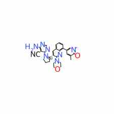 Cc1cc(-c2cccc3cc([C@@H]4CCCN4c4ncnc(N)c4C#N)c(N4CCOCC4)nc23)cn(C)c1=O